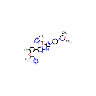 C[C@@H]1CN(C2CCC(n3cc(Nc4ncc(-c5ccc(Cl)c(O[C@@H](C)Cn6cnnn6)c5)cn4)c(OCc4nncn4C)n3)CC2)C[C@H](C)O1